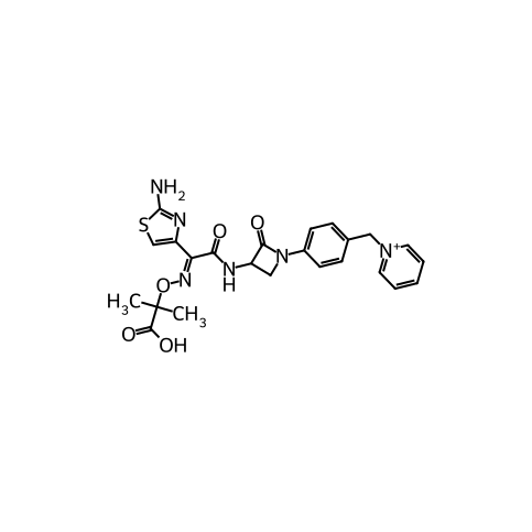 CC(C)(ON=C(C(=O)NC1CN(c2ccc(C[n+]3ccccc3)cc2)C1=O)c1csc(N)n1)C(=O)O